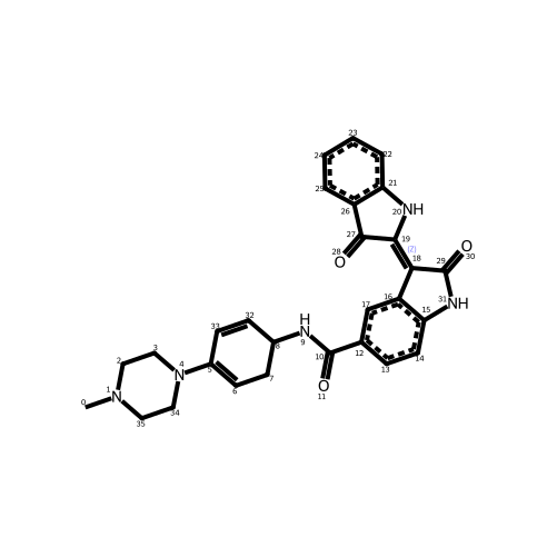 CN1CCN(C2=CCC(NC(=O)c3ccc4c(c3)/C(=C3/Nc5ccccc5C3=O)C(=O)N4)C=C2)CC1